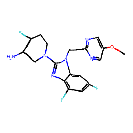 COc1cnc(Cn2c(N3CCC(F)C(N)C3)nc3c(F)cc(F)cc32)nc1